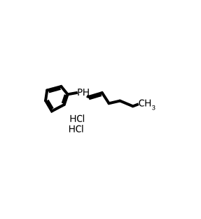 CCCCC=CPc1ccccc1.Cl.Cl